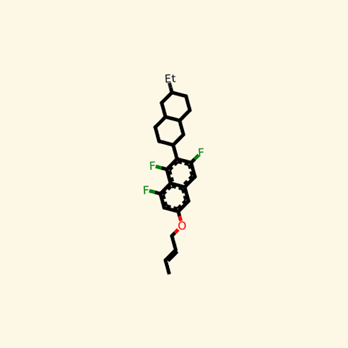 CC=CCOc1cc(F)c2c(F)c(C3CCC4CC(CC)CCC4C3)c(F)cc2c1